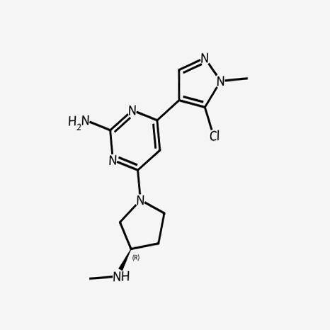 CN[C@@H]1CCN(c2cc(-c3cnn(C)c3Cl)nc(N)n2)C1